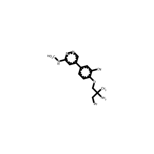 CC(C)CC(C)(N)COc1ccc(-c2cnnc(NC(=O)O)c2)cc1C#N